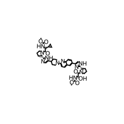 COC(=O)N[C@@H](O)C(=O)N1CCC[C@H]1c1nc(-c2ccc3nc(N4CCC(c5cnc([C@@H]6CCCN6C(=O)[C@@H](NC(=O)OC)C6CC6)[nH]5)CC4)ccc3c2)c[nH]1